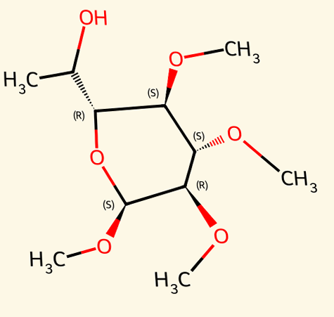 CO[C@H]1O[C@H](C(C)O)[C@@H](OC)[C@H](OC)[C@H]1OC